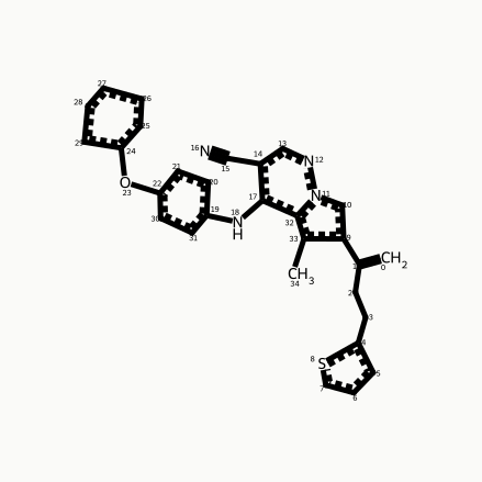 C=C(CCc1cccs1)c1cn2ncc(C#N)c(Nc3ccc(Oc4ccccc4)cc3)c2c1C